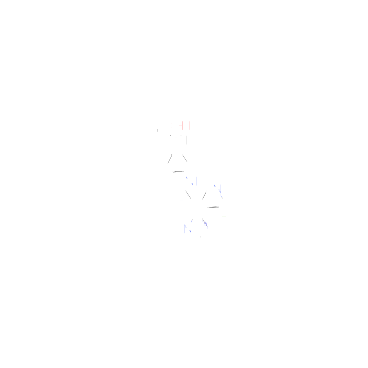 C/C=C(\C=N)c1c(F)cncc1/C=C\Nc1ccc(CC(C)(C)O)cc1